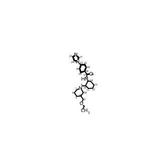 CCOCC1CCCN(CC2CCCCC2NC(=O)c2ccc(-n3ccnc3)cc2)C1